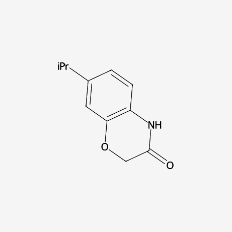 CC(C)c1ccc2c(c1)OCC(=O)N2